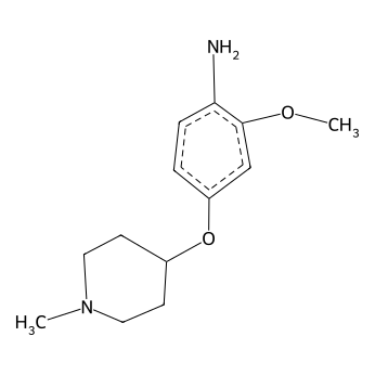 COc1cc(OC2CCN(C)CC2)ccc1N